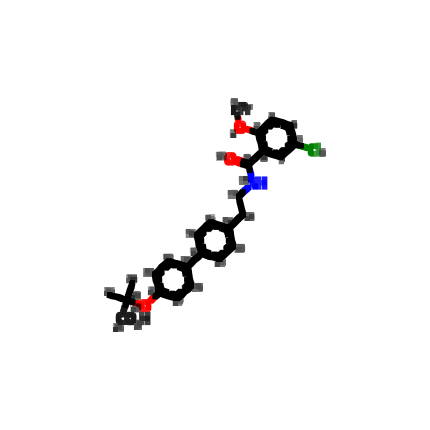 CCCOc1ccc(Cl)cc1C(=O)NCCc1ccc(-c2ccc(OC(C)(C)C(=O)O)cc2)cc1